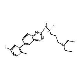 CCN(CC)CCC[C@@H](C)Nc1ncc2cc(-c3cc(F)ncc3C)ccc2n1